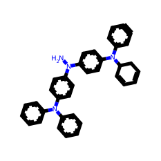 NN(c1ccc(N(c2ccccc2)c2ccccc2)cc1)c1ccc(N(c2cc#ccc2)C2C=CC=CC2)cc1